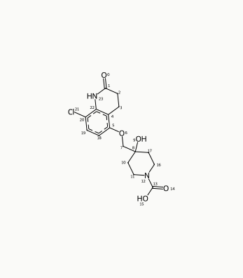 O=C1CCc2c(OCC3(O)CCN(C(=O)O)CC3)ccc(Cl)c2N1